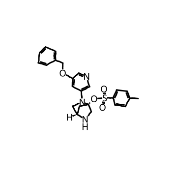 Cc1ccc(S(=O)(=O)O[C@@]23CN[C@H](CN2c2cncc(OCc4ccccc4)c2)C3)cc1